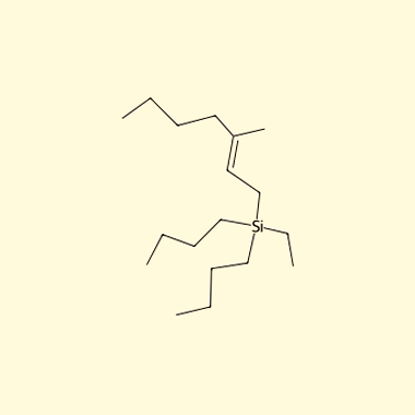 CCCCC(C)=CC[Si](CC)(CCCC)CCCC